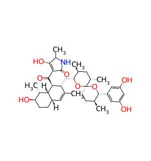 CC1=C[C@@H]2CC[C@@H](O)[C@H](C)[C@@H]2[C@@H](C(=O)C2=C(O)C(C)NC2=O)[C@@H]1C[C@H]1O[C@@]2(CC[C@H](C)[C@@H](c3cc(O)cc(O)c3)O2)[C@@H](C)C[C@@H]1C